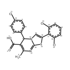 CC1=C(C(=O)O)C(c2ccc(Cl)cc2)N2C=C(c3c(Cl)cccc3Cl)SC2=N1